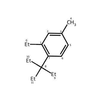 CCc1cc(C)ccc1C(CC)(CC)CC